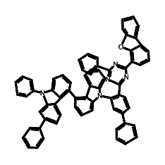 c1ccc(-c2ccc(-c3nc(-c4ccccc4)nc(-c4cccc5c4oc4ccccc45)n3)c(-n3c4ccccc4c4c(-c5cccc6c5c5ccc(-c7ccccc7)cc5n6-c5ccccc5)cccc43)c2)cc1